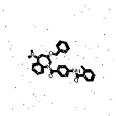 Cc1ccccc1C(=O)Nc1ccc(C(=O)N2CC(OCc3ccccc3)CC(N(C)C)c3ccccc32)cc1